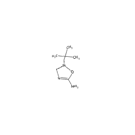 CC(C)(C)N1CN=C(N)O1